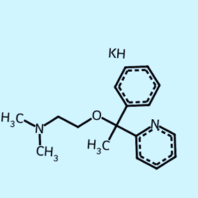 CN(C)CCOC(C)(c1ccccc1)c1ccccn1.[KH]